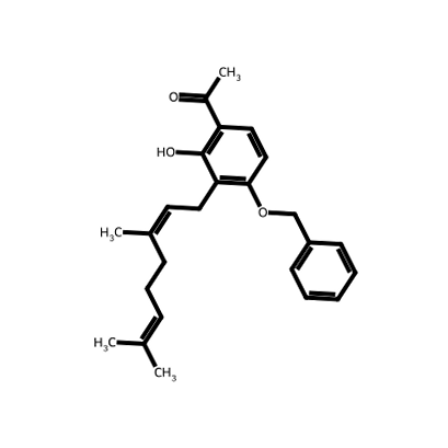 CC(=O)c1ccc(OCc2ccccc2)c(CC=C(C)CCC=C(C)C)c1O